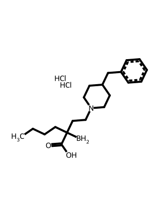 BC(CCCC)(CCN1CCC(Cc2ccccc2)CC1)C(=O)O.Cl.Cl